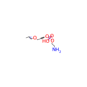 C/C=C/OCC#COP(=O)(O)OCCN